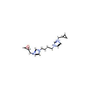 c1c[n+](CC2CC2)cn1CCCCn1cc[n+](CC2CO2)c1